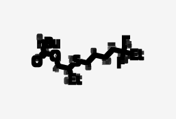 CCCCC(=O)OCC(CC)SCCCCC(F)(F)CC